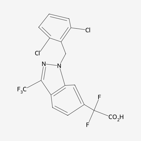 O=C(O)C(F)(F)c1ccc2c(C(F)(F)F)nn(Cc3c(Cl)cccc3Cl)c2c1